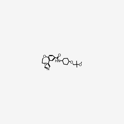 COC(C)(C)COC1CCC(NC(=O)c2ccc3c(c2)-c2cncn2CCO3)CC1